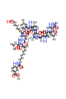 CC[C@H](NC(=O)C([C@H](O)[C@H](C)CCCCCCCNC(=O)c1cccc(C(=O)OC)c1)N(C)C(=O)CC(C)C)C(=O)N(C)[C@H](CSCCCCO)C(=O)N(C)[C@@H](CC(C)C)C(=O)N[C@H](C(=O)N(C)[C@@H](CC(C)C)C(=O)N[C@H](C)C(=O)N[C@@H](C)C(=O)N(C)[C@@H](CC(C)C)C(=O)N(C)C(=O)NC)C(C)C